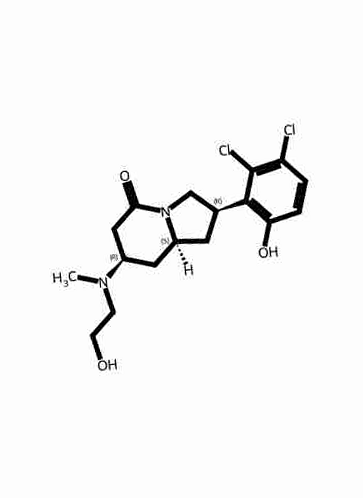 CN(CCO)[C@H]1CC(=O)N2C[C@@H](c3c(O)ccc(Cl)c3Cl)C[C@H]2C1